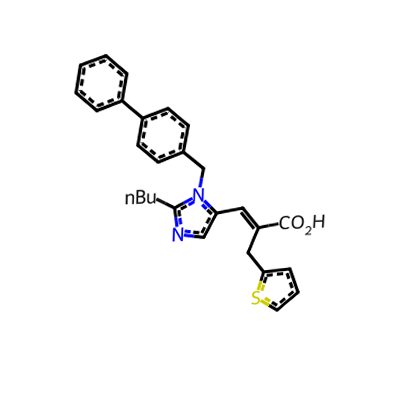 CCCCc1ncc(C=C(Cc2cccs2)C(=O)O)n1Cc1ccc(-c2ccccc2)cc1